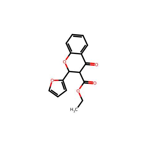 CCOC(=O)C1C(=O)c2ccccc2OC1c1ccco1